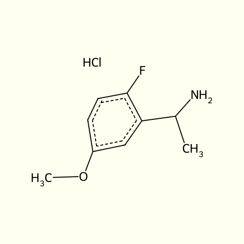 COc1ccc(F)c(C(C)N)c1.Cl